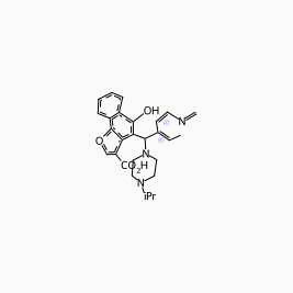 C=N/C=C\C(=C/C)C(c1c(O)c2ccccc2c2occ(C(=O)O)c12)N1CCN(C(C)C)CC1